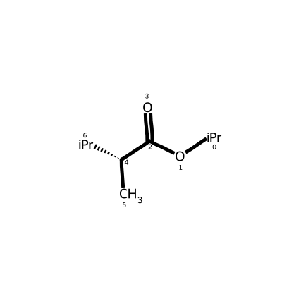 CC(C)OC(=O)[C@H](C)C(C)C